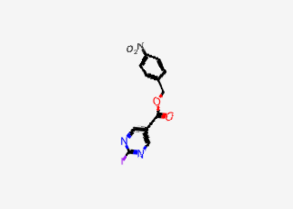 O=C(OCc1ccc([N+](=O)[O-])cc1)c1cnc(I)nc1